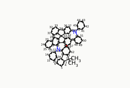 CC1(C)c2ccccc2-c2c(N(c3ccccc3)c3c4c(cc5ccccc35)C3(c5ccccc5-c5ccc(N(c6ccccc6)c6ccccc6)cc53)c3ccccc3-4)cccc21